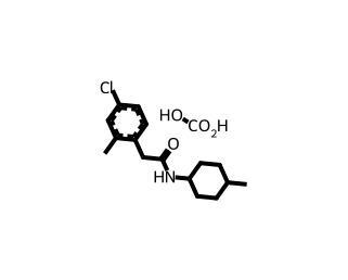 Cc1cc(Cl)ccc1CC(=O)NC1CCC(C)CC1.O=C(O)O